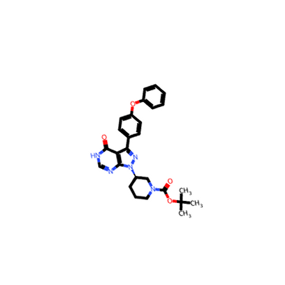 CC(C)(C)OC(=O)N1CCC[C@@H](n2nc(-c3ccc(Oc4ccccc4)cc3)c3c(=O)[nH]cnc32)C1